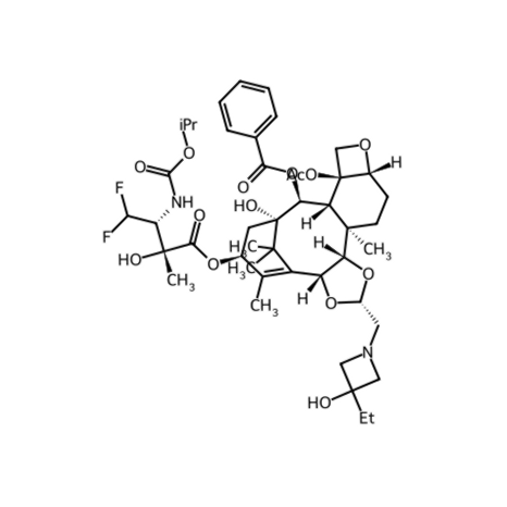 CCC1(O)CN(C[C@@H]2O[C@@H]3C4=C(C)[C@@H](OC(=O)[C@](C)(O)[C@@H](NC(=O)OC(C)C)C(F)F)C[C@@](O)([C@@H](OC(=O)c5ccccc5)[C@H]5[C@@](C)(CC[C@H]6OC[C@]65OC(C)=O)[C@@H]3O2)C4(C)C)C1